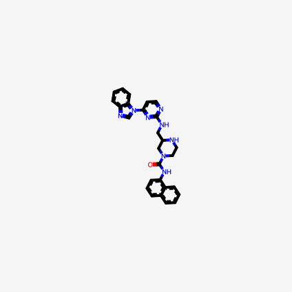 O=C(Nc1cccc2ccccc12)N1CCNC(CNc2nccc(-n3cnc4ccccc43)n2)C1